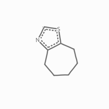 [c]1nc2c(s1)CCCCC2